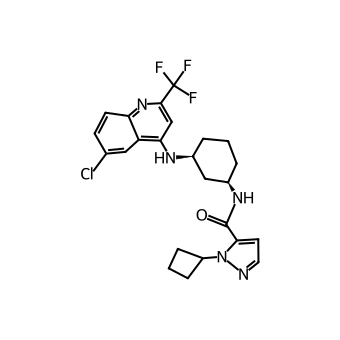 O=C(N[C@@H]1CCC[C@H](Nc2cc(C(F)(F)F)nc3ccc(Cl)cc23)C1)c1ccnn1C1CCC1